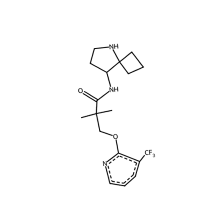 CC(C)(COc1ncccc1C(F)(F)F)C(=O)NC1CCNC12CCC2